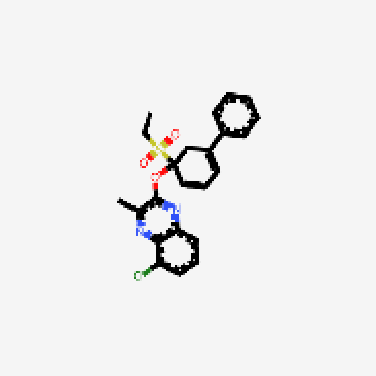 CCS(=O)(=O)C1(Oc2nc3cccc(Cl)c3nc2C)C=CC=C(c2ccccc2)C1